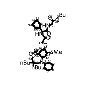 CCCCC1(CCCC)CN(c2ccccc2)c2cc(SC)c(OCC(=O)N[C@@H](C(=O)NCC(=O)OC(C)(C)C)c3ccccc3)cc2S(=O)(=O)C1